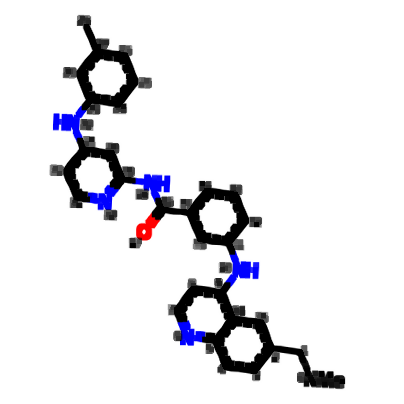 CNCc1ccc2nccc(Nc3cccc(C(=O)Nc4cc(Nc5cccc(C)c5)ccn4)c3)c2c1